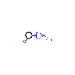 CCN1CCN(c2cccc(Cl)c2)CC1